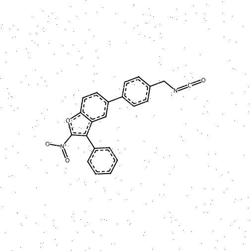 O=C=NCc1ccc(-c2ccc3oc([N+](=O)[O-])c(-c4ccccc4)c3c2)cc1